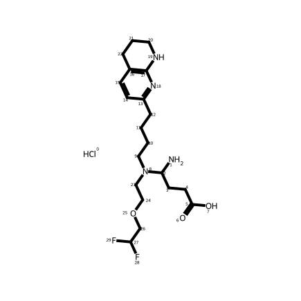 Cl.NC(CCC(=O)O)N(CCCCc1ccc2c(n1)NCCC2)CCOCC(F)F